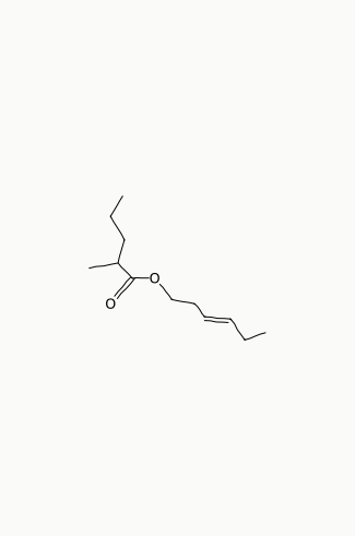 CCC=CCCOC(=O)C(C)CCC